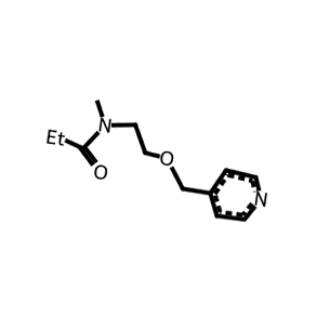 CCC(=O)N(C)CCOCc1ccncc1